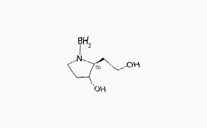 BN1CCC(O)[C@@H]1CCO